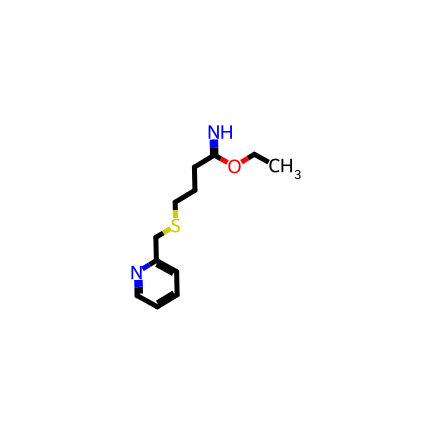 CCOC(=N)CCCSCc1ccccn1